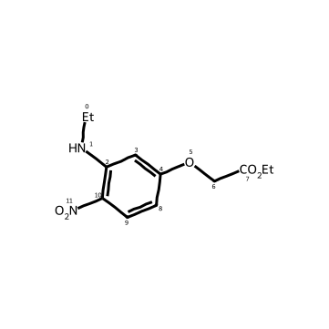 CCNc1cc(OCC(=O)OCC)ccc1[N+](=O)[O-]